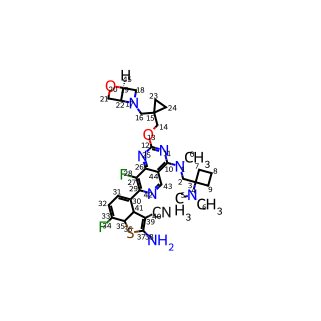 CN(CC1(N(C)C)CCC1)c1nc(OCC2(CN3C[C@@H]4OCC43)CC2)nc2c(F)c(C3=CC=C(F)C4SC(N)=C(C#N)C34)ncc12